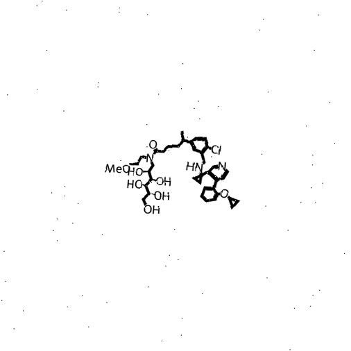 COCCCN(C[C@H](O)[C@@H](O)[C@H](O)[C@H](O)CO)C(=O)CCCC(C)c1ccc(Cl)c(CNC2(c3cnccc3-c3ccccc3OC3CC3)CC2)c1